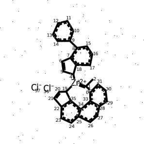 C[C](C)=[Zr+2]([CH]1C=Cc2c(-c3ccccc3)cccc21)[CH]1C=Cc2ccc3ccc4ccccc4c3c21.[Cl-].[Cl-]